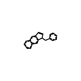 C1=Cc2cc3ccccc3cc2[C]1Cc1ccccc1